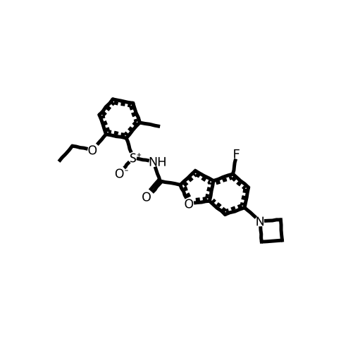 CCOc1cccc(C)c1[S+]([O-])NC(=O)c1cc2c(F)cc(N3CCC3)cc2o1